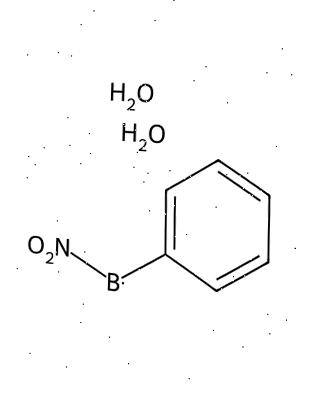 O.O.O=[N+]([O-])[B]c1ccccc1